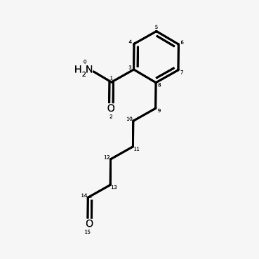 NC(=O)c1ccccc1CCCCC[C]=O